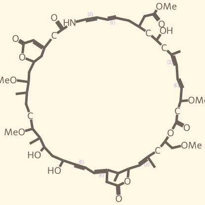 COCC1C/C(C)=C\C2OC(=O)C/C(=C\C=C\C(O)CC(O)C(C)C(OC)CCC(C)C(OC)CC3CC(=CC(=O)O3)CC(=O)N/C=C\C=C\CC(CC(=O)OC)CC(O)C/C(C)=C\C=C\C(OC)CC(=O)O1)C2C